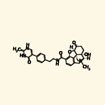 C=C1NC=C(c2ccc(CCNC(=O)c3ccc4c5c3O[C@H]3C(=O)CC[C@@]6(O)[C@@H](C4)N(C)CC[C@]536)cc2)C(=O)N1